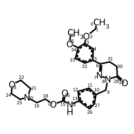 CCOc1cc(C2=NN(Cc3ccc(NC(=O)OCCN4CCOCC4)cc3)C(=O)CC2)ccc1OC